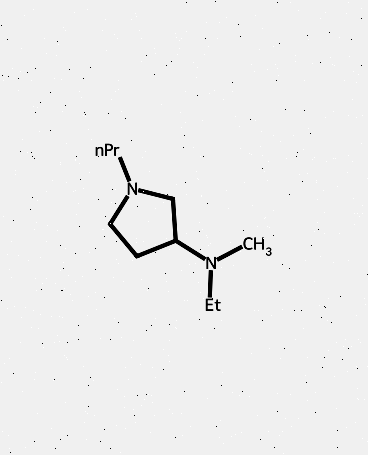 CCCN1CCC(N(C)CC)C1